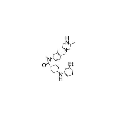 [CH2]Cc1cccc(N[C@H]2CC[C@H](C(=O)N(C)c3ccc(CN4CCN[C@@H](C)C4)c(C)c3)CC2)c1